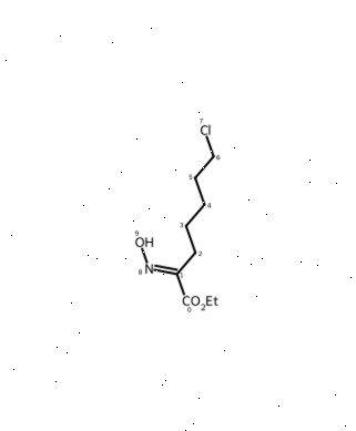 CCOC(=O)C(CCCCCCl)=NO